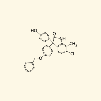 Cc1c(Cl)ccc2c1NC(=O)C2(c1ccc(O)cc1)c1ccc(OCc2ccccc2)cc1